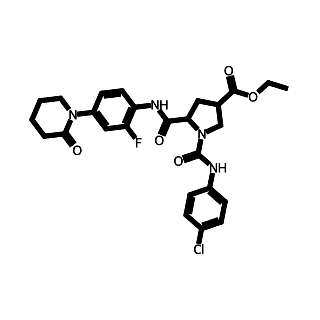 CCOC(=O)C1CC(C(=O)Nc2ccc(N3CCCCC3=O)cc2F)N(C(=O)Nc2ccc(Cl)cc2)C1